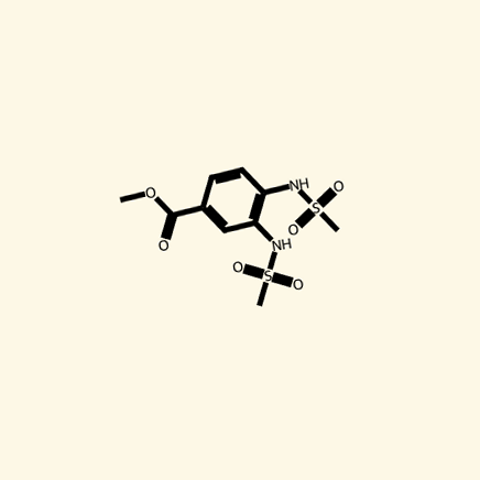 COC(=O)c1ccc(NS(C)(=O)=O)c(NS(C)(=O)=O)c1